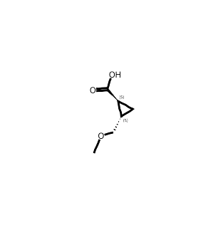 COC[C@H]1C[C@@H]1C(=O)O